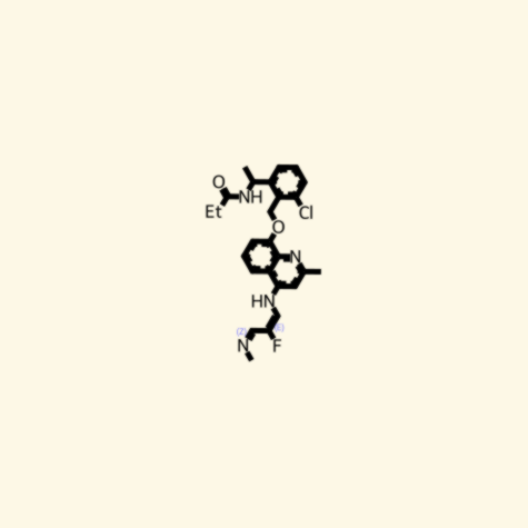 CCC(=O)NC(C)c1cccc(Cl)c1COc1cccc2c(N/C=C(F)\C=N/C)cc(C)nc12